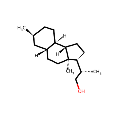 C[C@H]1CC[C@@H]2[C@H](CC[C@]3(C)[C@@H]([C@H](C)CO)CC[C@@H]23)C1